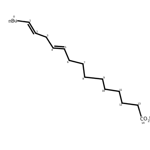 CCCC/C=C/C/C=C/CCCCCCCCC(=O)O